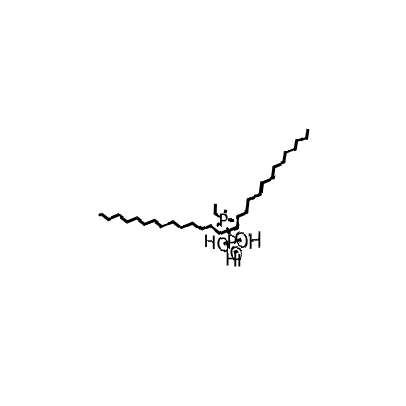 CCCCCCCCCCCCCCC(CCCCCCCCCCCCCC)(P(=O)(O)O)P(C)(C)(C)CC.I